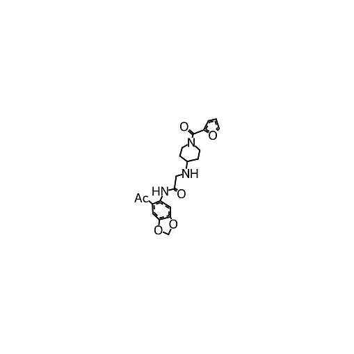 CC(=O)c1cc2c(cc1NC(=O)CNC1CCN(C(=O)c3ccco3)CC1)OCO2